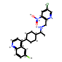 CC(NCc1ncc(Cl)cc1[N+](=O)[O-])C1CCC(c2ccnc3ccc(F)cc23)CC1